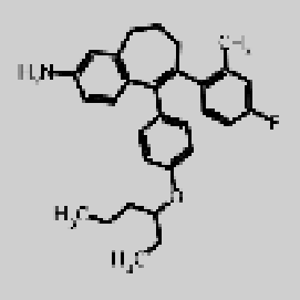 CCCC(CC)Oc1ccc(C2=C(c3ccc(F)cc3C)CCCc3cc(N)ccc32)cc1